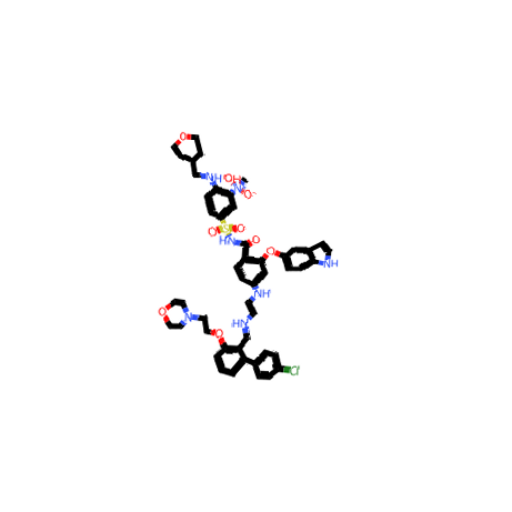 C[N+]([O-])(O)c1cc(S(=O)(=O)NC(=O)c2ccc(NCCNCc3c(OCCN4CCOCC4)cccc3-c3ccc(Cl)cc3)cc2Oc2ccc3[nH]ccc3c2)ccc1NCC1CCOCC1